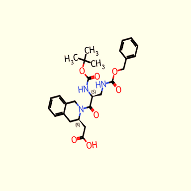 CC(C)(C)OC(=O)N[C@@H](CNC(=O)OCc1ccccc1)C(=O)N1Cc2ccccc2C[C@@H]1CC(=O)O